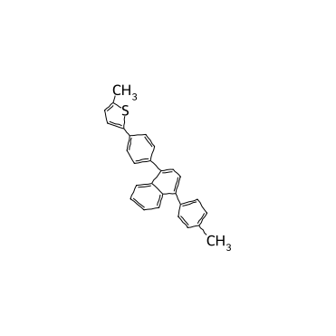 Cc1ccc(-c2ccc(-c3ccc(-c4ccc(C)s4)cc3)c3ccccc23)cc1